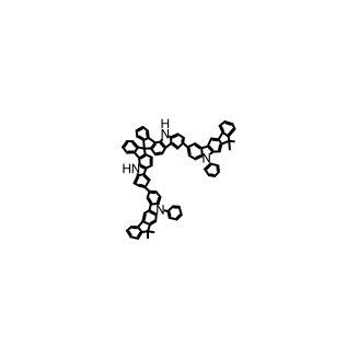 CC1(C)c2ccccc2-c2cc3c4cc(-c5ccc6[nH]c7c8c(ccc7c6c5)C5(c6ccccc6-8)c6ccccc6-c6c5ccc5c6[nH]c6ccc(-c7ccc8c(c7)c7cc9c(cc7n8-c7ccccc7)C(C)(C)c7ccccc7-9)cc65)ccc4n(-c4ccccc4)c3cc21